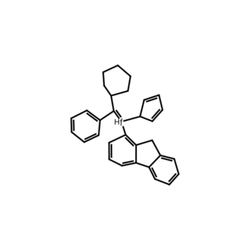 C1=C[CH]([Hf](=[C](c2ccccc2)C2CCCCC2)[c]2cccc3c2Cc2ccccc2-3)C=C1